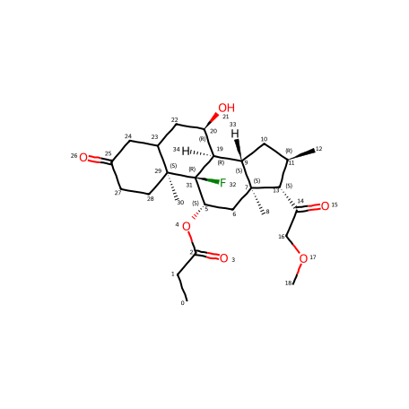 CCC(=O)O[C@H]1C[C@@]2(C)[C@@H](C[C@@H](C)[C@@H]2C(=O)COC)[C@@H]2[C@H](O)CC3CC(=O)CC[C@]3(C)[C@]21F